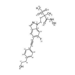 CC(CCn1ncc2cc(C#Cc3ccc(CCO)cc3)c(F)cc21)(C(=O)NO)S(C)(=O)=O